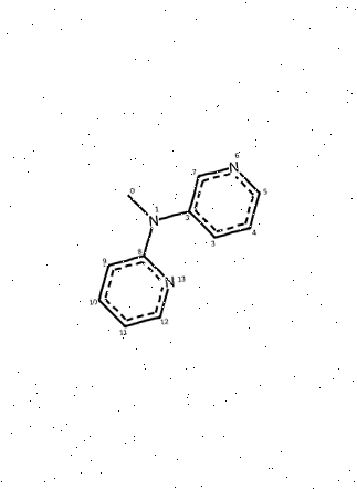 CN(c1cccnc1)c1[c]cccn1